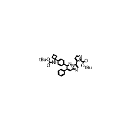 CC(C)(C)OC(=O)NC1(c2ccc(-c3nn4c(-c5ccnn5C(=O)OC(C)(C)C)cnc4cc3-c3ccccc3)cc2)CCC1